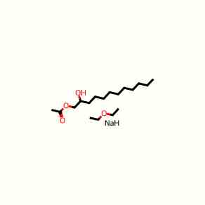 CCCCCCCCCCC(O)COC(C)=O.CCOCC.[NaH]